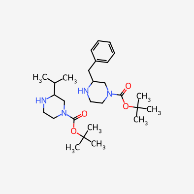 CC(C)(C)OC(=O)N1CCNC(Cc2ccccc2)C1.CC(C)C1CN(C(=O)OC(C)(C)C)CCN1